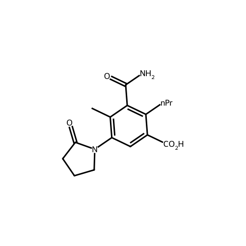 CCCc1c(C(=O)O)cc(N2CCCC2=O)c(C)c1C(N)=O